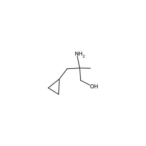 CC(N)(CO)CC1CC1